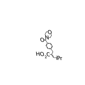 CC(C)/C=C(\Cc1ccc(C(=O)N2CCOCC2)cc1)C(=O)O